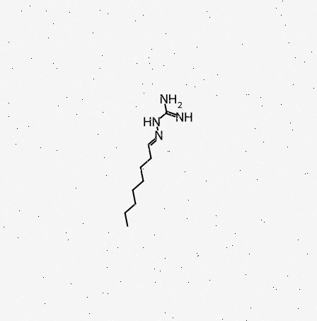 CCCCCCCC=NNC(=N)N